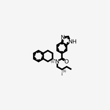 CC[C@H](C)CN(C(=O)c1ccc2nc[nH]c2c1)[C@H]1CCc2ccccc2C1